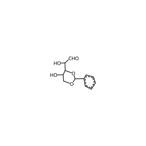 O=CC(O)C1OC(c2ccccc2)OCC1O